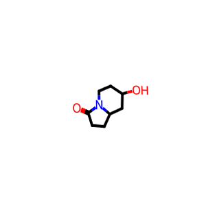 O=C1CCC2CC(O)CCN12